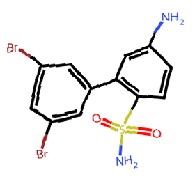 Nc1ccc(S(N)(=O)=O)c(-c2cc(Br)cc(Br)c2)c1